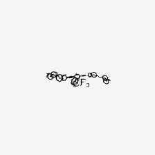 C=CC(=O)OCCCCCOc1ccc(C#Cc2ccc(C#Cc3ccc(OCCOC(=O)C=C)cc3)c(OC(F)(F)F)c2)cc1